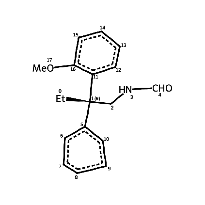 CC[C@@](CNC=O)(c1ccccc1)c1ccccc1OC